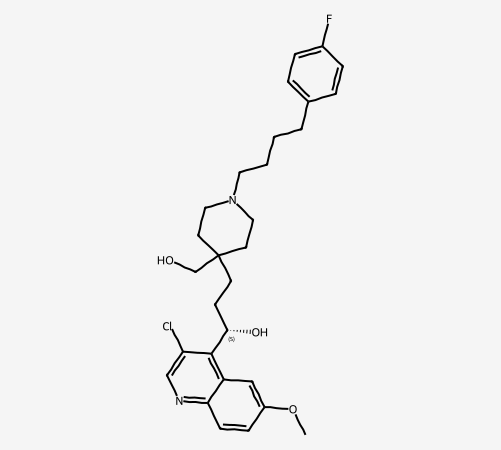 COc1ccc2ncc(Cl)c([C@@H](O)CCC3(CO)CCN(CCCCc4ccc(F)cc4)CC3)c2c1